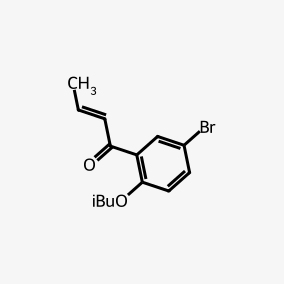 C/C=C/C(=O)c1cc(Br)ccc1OCC(C)C